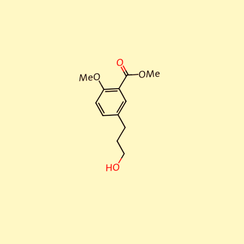 COC(=O)c1cc(CCCO)ccc1OC